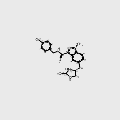 Cn1nc(C(=O)NCc2ccc(Cl)cc2)c2cc(C[C@H]3COC(=O)N3)ccc21